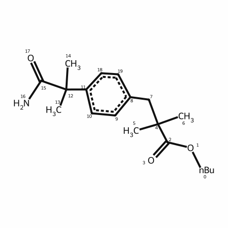 CCCCOC(=O)C(C)(C)Cc1ccc(C(C)(C)C(N)=O)cc1